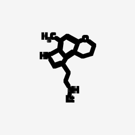 CCNCCc1c[nH]c2c(C)cc3c(c12)CCCO3